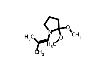 COC1(OC)CCCN1C=C(C)C